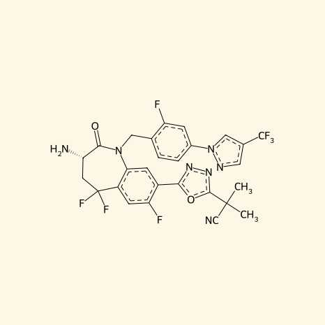 CC(C)(C#N)c1nnc(-c2cc3c(cc2F)C(F)(F)C[C@H](N)C(=O)N3Cc2ccc(-n3cc(C(F)(F)F)cn3)cc2F)o1